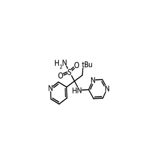 CC(C)(C)CC(Nc1ccncn1)(c1cccnc1)S(N)(=O)=O